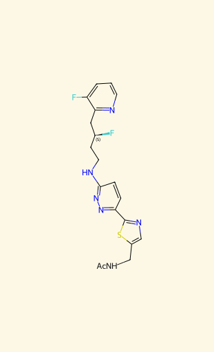 CC(=O)NCc1cnc(-c2ccc(NCC[C@H](F)Cc3ncccc3F)nn2)s1